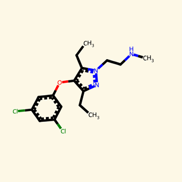 CCc1nn(CCNC)c(CC)c1Oc1cc(Cl)cc(Cl)c1